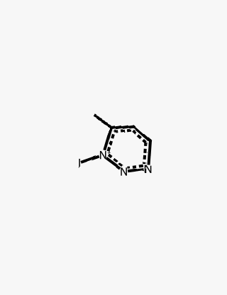 Cc1ccnn[n+]1I